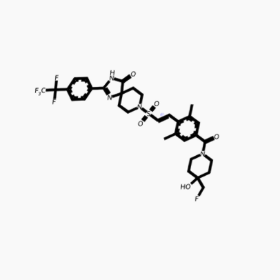 Cc1cc(C(=O)N2CCC(O)(CF)CC2)cc(C)c1/C=C/S(=O)(=O)N1CCC2(CC1)N=C(c1ccc(C(F)(F)C(F)(F)F)cc1)NC2=O